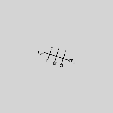 FC(F)(F)C(F)(F)C(F)(Br)C(F)(Cl)C(F)(F)F